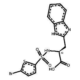 O=C(O)[C@H](Cc1nc2ccccc2[nH]1)NS(=O)(=O)c1ccc(Br)s1